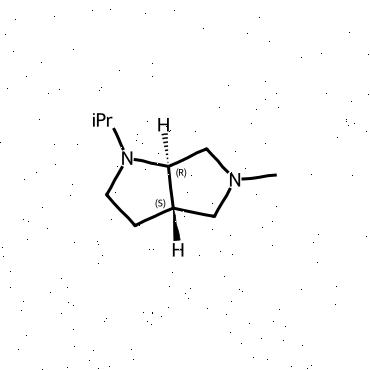 CC(C)N1CC[C@H]2CN(C)C[C@@H]21